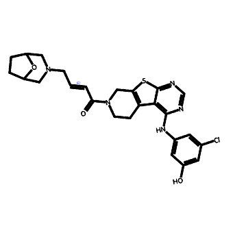 O=C(/C=C/CN1CC2CCC(C1)O2)N1CCc2c(sc3ncnc(Nc4cc(O)cc(Cl)c4)c23)C1